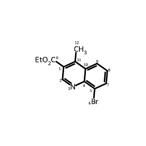 CCOC(=O)c1cnc2c(Br)cccc2c1C